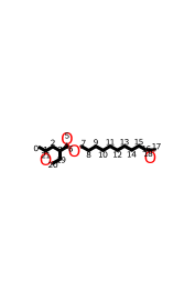 CC1CC(C(=O)OCCCCCCCCCC2CO2)CCO1